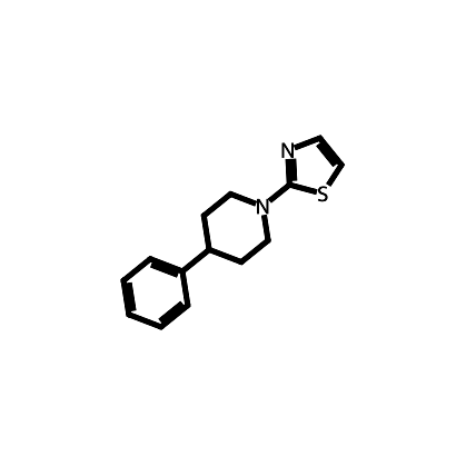 c1ccc(C2CCN(c3nccs3)CC2)cc1